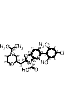 Cc1cc(Cl)cc(O)c1-c1ccc2oc(CC3CN(C(C)C)CCO3)nc2n1.O=CO